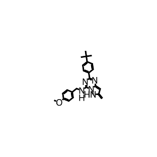 C=C1C=C2N=C(c3ccc(C(C)(C)C)cc3)N=C(NCc3ccc(OC)cc3)N2N1